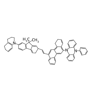 CC1(C)C2=CC(/C=C/c3cc4c5c(c(N6c7ccccc7N(c7ccccc7)c7ccccc76)cc4c4ccccc34)C=CCC5)CC=C2c2ccc(N3CCCC4=C3C=CCC4)cc21